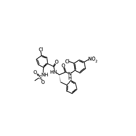 CS(=O)(=O)Nc1ccc(Cl)cc1C(=O)N[C@@H](Cc1ccccc1)C(=O)Nc1ccc([N+](=O)[O-])cc1Cl